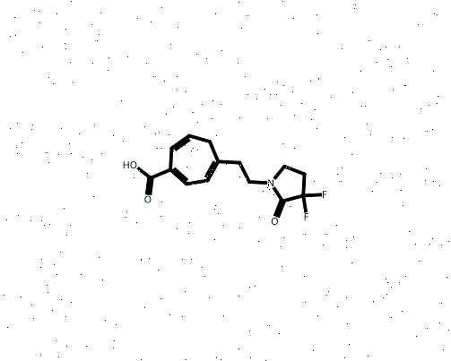 O=C(O)C1=CC=C(CCN2CCC(F)(F)C2=O)CC=C1